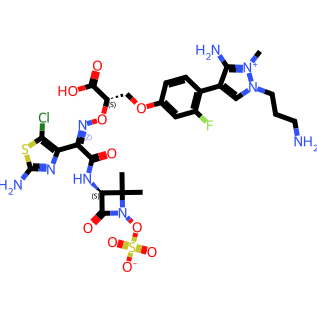 C[n+]1c(N)c(-c2ccc(OC[C@H](O/N=C(\C(=O)N[C@@H]3C(=O)N(OS(=O)(=O)[O-])C3(C)C)c3nc(N)sc3Cl)C(=O)O)cc2F)cn1CCCN